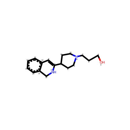 OCCCN1CCC(C2=Cc3ccccc3CN2)CC1